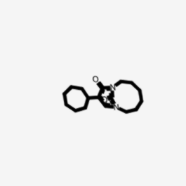 O=c1c(C2CCCCCC2)cn2c(=O)n1CCCCCC2